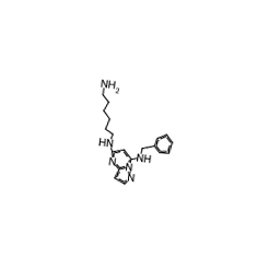 NCCCCCCNc1cc(NCc2ccccc2)n2nccc2n1